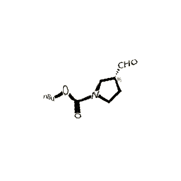 CCCCOC(=O)N1CC[C@@H](C=O)C1